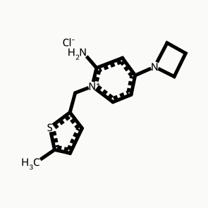 Cc1ccc(C[n+]2ccc(N3CCC3)cc2N)s1.[Cl-]